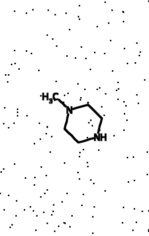 CN1[CH]CNCC1